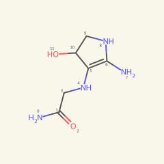 NC(=O)CNC1=C(N)NCC1O